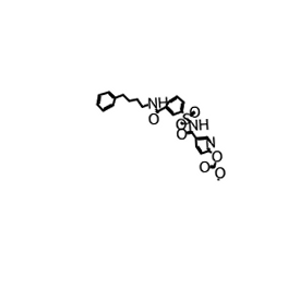 COC(=O)Oc1ccc(C(=O)NS(=O)(=O)c2cccc(C(=O)NCCCCc3ccccc3)c2)cn1